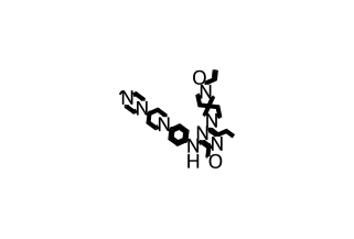 C=CC(=O)N1CCC2(CCN(c3nc(Nc4ccc(N5CCC(N6CCN(C)CC6)CC5)cc4)c(C=O)nc3CC)C2)C1